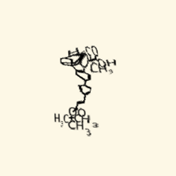 CC(C)(C)OC(=O)C=Cc1ccc(-c2ccc(OC(C)(C)C(=O)O)c(C34CC5CC(CC(C5)C3)C4)c2)cc1